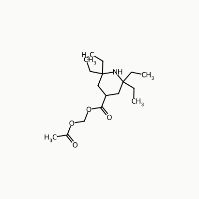 CCC1(CC)CC(C(=O)OCOC(C)=O)CC(CC)(CC)N1